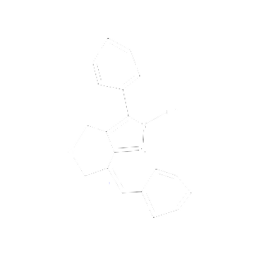 CCCn1nc2c(c1-c1ccccc1)COC/C2=C/c1ccccc1